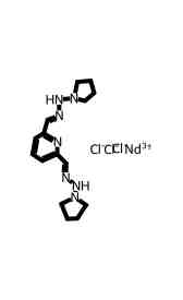 C(=NNN1CCCC1)c1cccc(C=NNN2CCCC2)n1.[Cl-].[Cl-].[Cl-].[Nd+3]